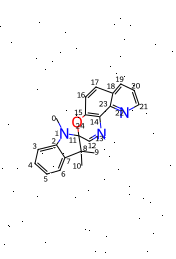 CN1c2ccccc2C(C)(C)C12C=Nc1c(ccc3cccnc13)O2